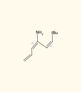 C=C/C=C(N)\C=C/C(C)(C)C